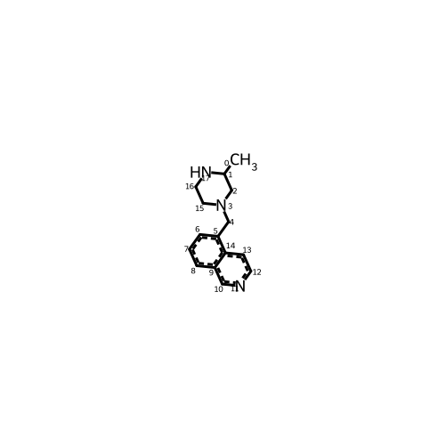 CC1CN(Cc2cccc3cnccc23)CCN1